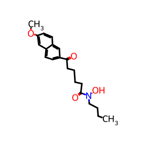 CCCCN(O)C(=O)CCCCC(=O)c1ccc2cc(OC)ccc2c1